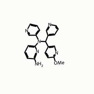 COc1ccc(C(c2cccnc2)N(c2cccnc2)c2cccc(N)n2)cn1